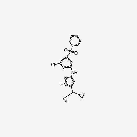 O=S(=O)(c1ccccc1)c1cc(Cl)nc(Nc2cc(C(C3CC3)C3CC3)[nH]n2)c1